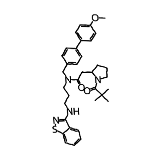 COc1ccc(-c2ccc(CN(CCCNc3nsc4ccccc34)C(=O)CC3CCCN3C(=O)C(C)(C)C)cc2)cc1